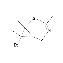 CCC1(C)C2CN=C(C)SC21C